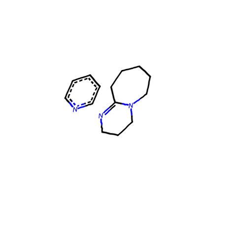 C1CCC2=NCCCN2CC1.c1ccncc1